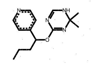 CCCC(OC1=NC(C)(C)NC=N1)c1ccncc1